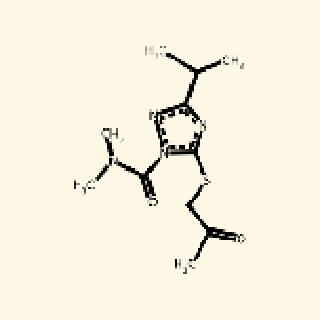 CC(=O)CSc1nc(C(C)C)nn1C(=O)N(C)C